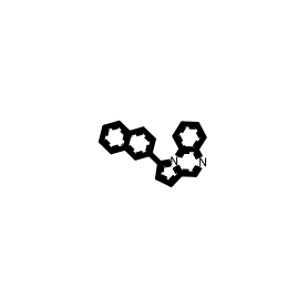 c1ccc2cc(-c3ccc4cnc5ccccc5n34)ccc2c1